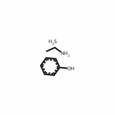 CCN.Oc1ccccc1.S